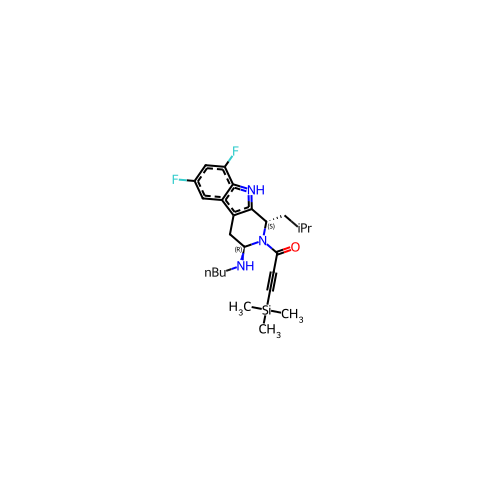 CCCCN[C@H]1Cc2c([nH]c3c(F)cc(F)cc23)[C@H](CC(C)C)N1C(=O)C#C[Si](C)(C)C